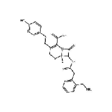 NCc1ccccc1CC(=S)NC1C(=O)N2C(C(=O)O)=C(CSc3ccc(O)nn3)CS[C@@H]12